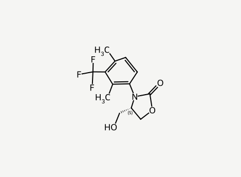 Cc1ccc(N2C(=O)OC[C@@H]2CO)c(C)c1C(F)(F)F